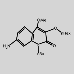 CCCCCCOc1c(OC)c2ccc(N)cc2n(CCCC)c1=O